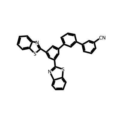 N#Cc1cccc(-c2cccc(-c3cc(-c4nc5ccccc5s4)cc(-c4nc5ccccc5s4)c3)c2)c1